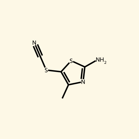 Cc1nc(N)sc1SC#N